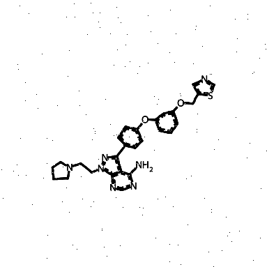 Nc1ncnc2c1c(-c1ccc(Oc3cccc(OCc4cncs4)c3)cc1)nn2CCN1CCCC1